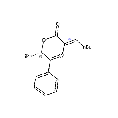 CCCC/C=C1\N=C(c2ccccc2)[C@H](C(C)C)OC1=O